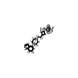 CN(C)S(=O)(=O)NC1CC(CCN2CCN(c3cccc4sccc34)CC2)C1